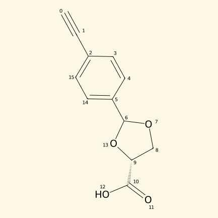 C#Cc1ccc(C2OC[C@H](C(=O)O)O2)cc1